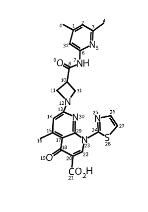 Cc1cc(C)nc(NC(=O)C2CN(c3cc(C)c4c(=O)c(C(=O)O)cn(-c5nccs5)c4n3)C2)c1